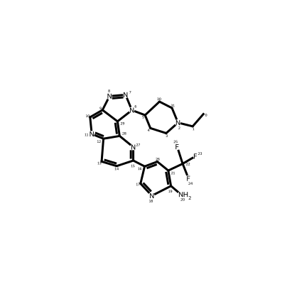 CCN1CCC(n2nnc3cnc4ccc(-c5cnc(N)c(C(F)(F)F)c5)nc4c32)CC1